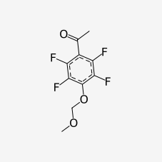 COCOc1c(F)c(F)c(C(C)=O)c(F)c1F